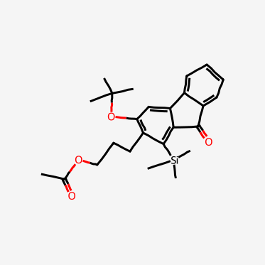 CC(=O)OCCCc1c(OC(C)(C)C)cc2c(c1[Si](C)(C)C)C(=O)c1ccccc1-2